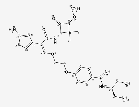 CC1(C)[C@H](NC(=O)C(=NOCCOc2ccc(C(=N)N[C@H](CN)CO)cc2)c2csc(N)n2)C(=O)N1OS(=O)(=O)O